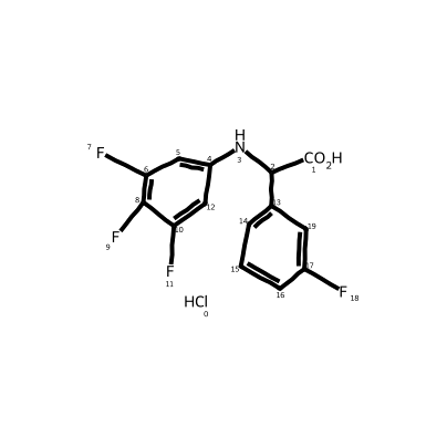 Cl.O=C(O)C(Nc1cc(F)c(F)c(F)c1)c1cccc(F)c1